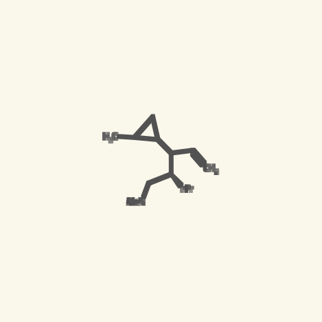 C=CC(C1CC1C)[C@@H](CCC)CNC